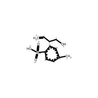 C=CCCO.Cc1ccc(S(=O)(=O)O)cc1